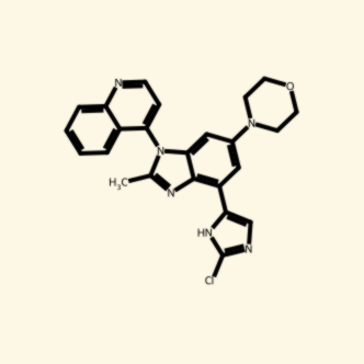 Cc1nc2c(-c3cnc(Cl)[nH]3)cc(N3CCOCC3)cc2n1-c1ccnc2ccccc12